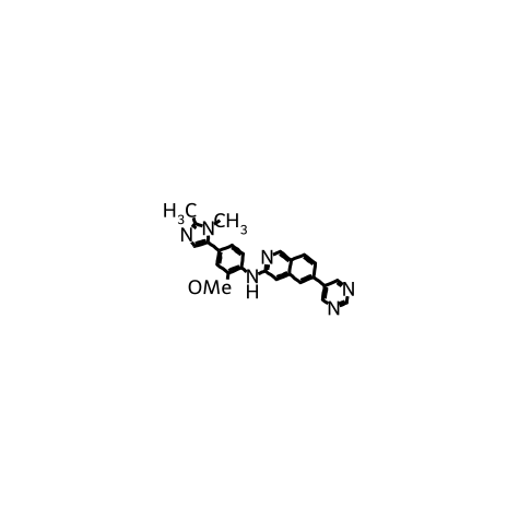 COc1cc(-c2cnc(C)n2C)ccc1Nc1cc2cc(-c3cncnc3)ccc2cn1